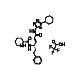 O=C(C=C[C@H](CCc1ccccc1)NC(=O)[C@@H]1CCCCN1)Nc1nnc(C2CCCCC2)s1.O=C(O)C(F)(F)F